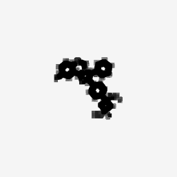 C[C@]1(O)C[C@](N)(c2ccc(-c3nc4n(c3-c3ccccc3)COc3ccc(F)cc3-4)cc2)C1